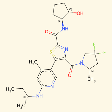 CC[C@@H](C)Nc1cc(C)c(-c2sc(C(=O)N[C@H]3CCC[C@@H]3O)nc2C(=O)N2CC(F)(F)C[C@@H]2C)cn1